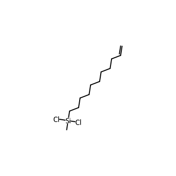 C=CCCCCCCCCC[Si](C)(Cl)Cl